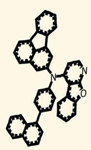 c1ccc2c(c1)-c1cccc3cc(N(c4ccc(-c5cccc6ccccc56)cc4)c4ccnc5oc6ccccc6c45)cc-2c13